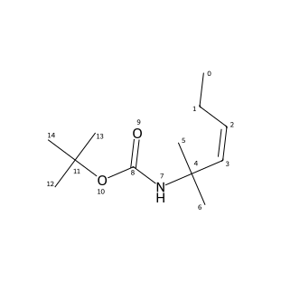 CC/C=C\C(C)(C)NC(=O)OC(C)(C)C